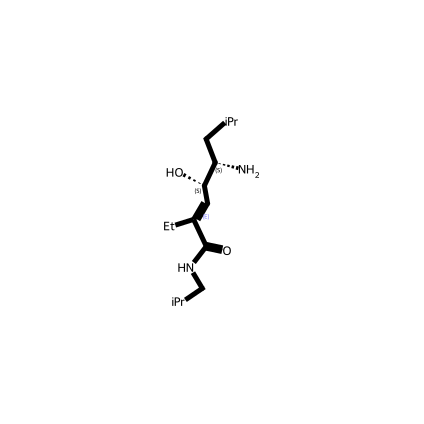 CC/C(=C\[C@H](O)[C@@H](N)CC(C)C)C(=O)NCC(C)C